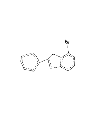 Brc1cccc2c1CC(c1ccccc1)=C2